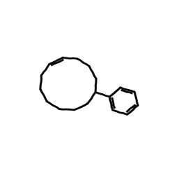 C1=CCCCC(c2ccccc2)CCCCCC1